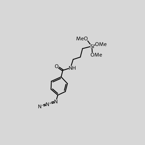 CO[Si](CCCNC(=O)c1ccc(N=[N+]=[N-])cc1)(OC)OC